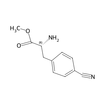 COC(=O)[C@H](N)Cc1ccc(C#N)cc1